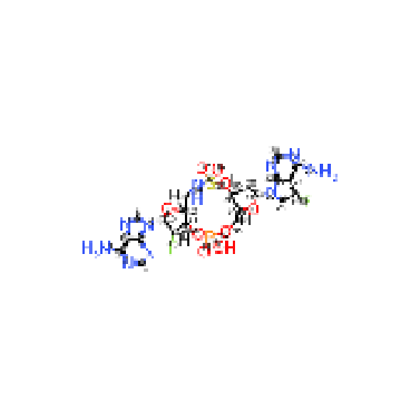 Nc1ncnc2c1ncn2[C@@H]1O[C@@H]2CNS(=O)(=O)O[C@H]3C[C@H](n4cc(F)c5c(N)ncnc54)O[C@@H]3COP(=O)(O)O[C@H]2[C@H]1F